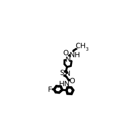 CCCNC(=O)N1CCC(c2nc(C(=O)Nc3ccccc3-c3ccc(F)cc3)cs2)CC1